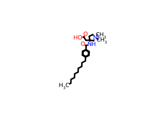 CCCCCCCCCCc1ccc(C(=O)NC2(CC(=O)O)CC[N+](C)(C)C2)cc1